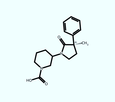 C[C@]1(c2ccccc2)CCN(C2CCCN(C(=O)O)C2)C1=O